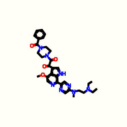 CCN(CC)CCN(C)c1cnc(-c2ncc(OC)c3c(C(=O)C(=O)N4CCN(C(=O)c5ccccc5)CC4)c[nH]c23)cn1